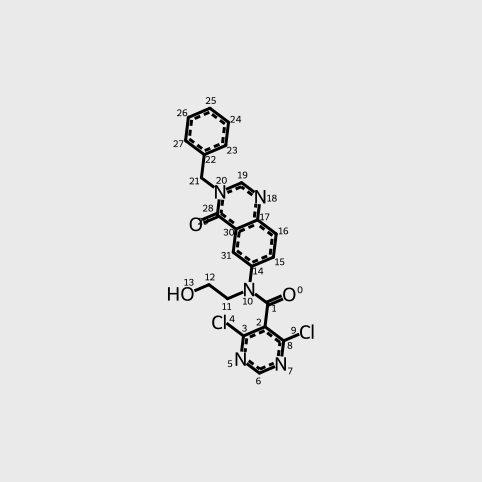 O=C(c1c(Cl)ncnc1Cl)N(CCO)c1ccc2ncn(Cc3ccccc3)c(=O)c2c1